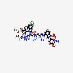 Cc1sc2c(c1C)C(c1ccc(Cl)cc1)=N[C@@H](CC(=O)NCCCNc1cccc3c1CN(C1CCC(=O)NC1=O)C3=O)c1nnc(C)n1-2